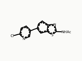 CC(=O)Nc1nc2ccc(-c3ccc(Cl)nc3)cc2s1